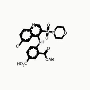 COC(=O)c1cc(C(=O)O)ccc1Nc1c(S(=O)(=O)N2CCOCC2)cnc2ccc(Cl)cc12